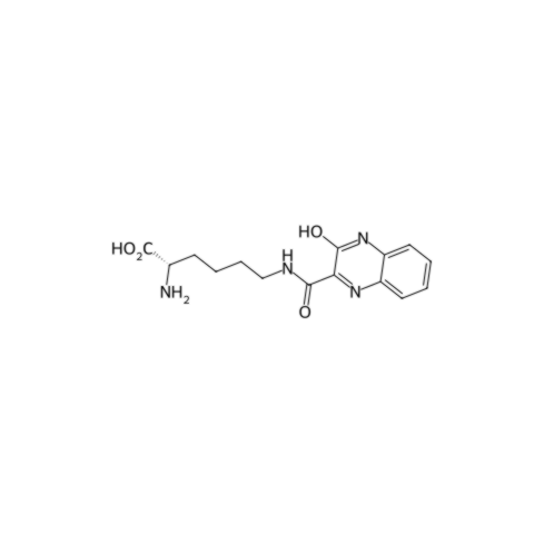 N[C@@H](CCCCNC(=O)c1nc2ccccc2nc1O)C(=O)O